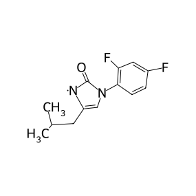 CC(C)CC1=CN(c2ccc(F)cc2F)C(=O)[N]1